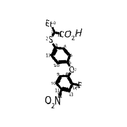 CCC(Sc1ccc(Oc2ccc([N+](=O)[O-])cc2F)cc1)C(=O)O